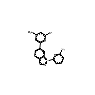 Cc1cc(C#N)nc(-c2ccc3cnn(-c4cccc(C(F)(F)F)n4)c3c2)c1